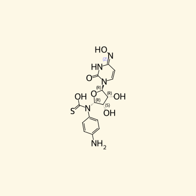 Nc1ccc(N(C(O)=S)[C@@H]2O[C@@H](n3cc/c(=N/O)[nH]c3=O)[C@H](O)[C@@H]2O)cc1